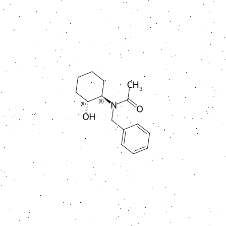 CC(=O)N(Cc1ccccc1)[C@@H]1CCCC[C@H]1O